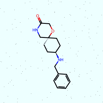 O=C1CO[C@]2(CC[C@H](NCc3ccccc3)CC2)CN1